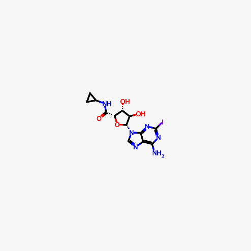 Nc1nc(I)nc2c1ncn2[C@@H]1O[C@H](C(=O)NC2CC2)[C@H](O)C1O